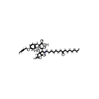 CC#CCOc1ccc(C[C@H](NC(=O)[C@@H](/C=C/CCCCCCC(=O)CCCCCCC)[C@@](O)(CCC)C(=O)O)C(=O)O)cc1